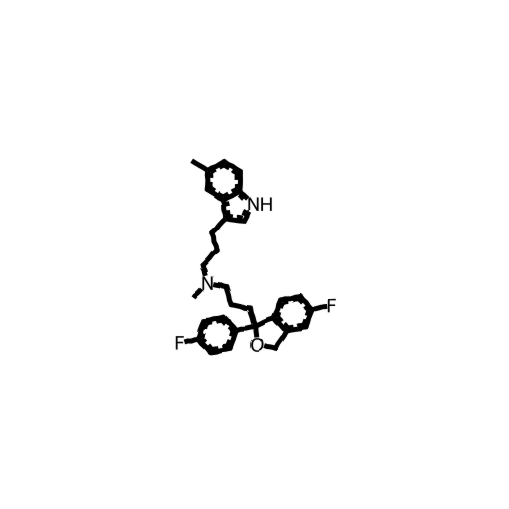 Cc1ccc2[nH]cc(CCCN(C)CCCC3(c4ccc(F)cc4)OCc4cc(F)ccc43)c2c1